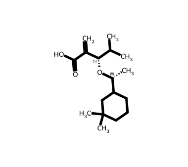 C=C(C(=O)O)[C@@H](O[C@H](C)C1CCCC(C)(C)C1)C(C)C